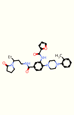 CCC(CCNC(=O)c1ccc(N2CCN(c3ccccc3C)CC2)c(NC(=O)c2ccco2)c1)N1CCCC1=O